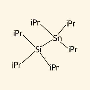 CC(C)[Si](C(C)C)(C(C)C)[Sn]([CH](C)C)([CH](C)C)[CH](C)C